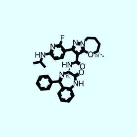 CC(C)Nc1ccc(-c2nn3c(c2C(=O)N[C@H]2N=C(c4ccccc4)c4ccccc4NC2=O)O[C@@H](C)CCC3)c(F)n1